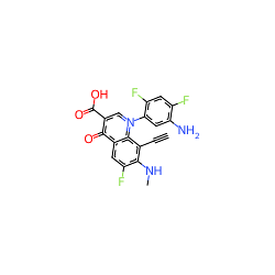 C#Cc1c(NC)c(F)cc2c(=O)c(C(=O)O)cn(-c3cc(N)c(F)cc3F)c12